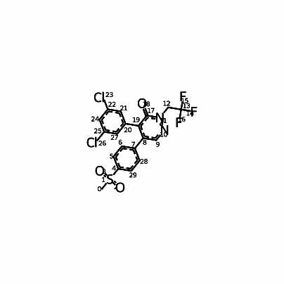 CS(=O)(=O)c1ccc(-c2cnn(CC(F)(F)F)c(=O)c2-c2cc(Cl)cc(Cl)c2)cc1